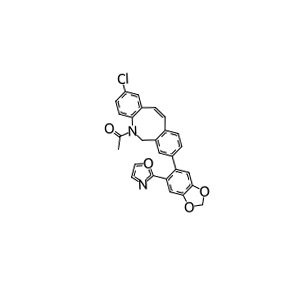 CC(=O)N1Cc2cc(-c3cc4c(cc3-c3ncco3)OCO4)ccc2C=Cc2cc(Cl)ccc21